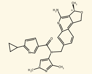 Cc1nn(C)cc1N(Cc1ccc2c3c(c(N)nc2c1)[C@@H](C)OC3)C(=O)c1ccc(C2CC2)nc1